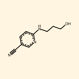 N#Cc1ccc(NCCCO)nc1